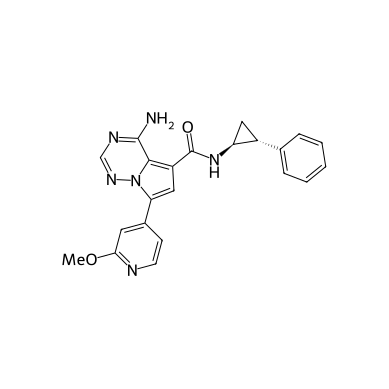 COc1cc(-c2cc(C(=O)N[C@H]3C[C@@H]3c3ccccc3)c3c(N)ncnn23)ccn1